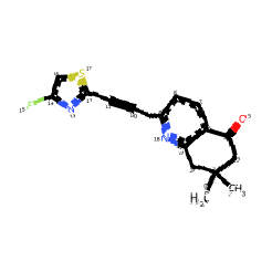 CC1(C)CC(=O)c2ccc(C#Cc3nc(F)cs3)nc2C1